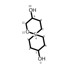 OC1CC[Si]2(CC1)CCC(O)CO2